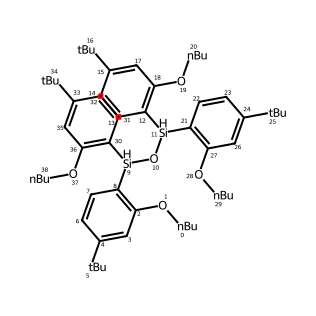 CCCCOc1cc(C(C)(C)C)ccc1[SiH](O[SiH](c1ccc(C(C)(C)C)cc1OCCCC)c1ccc(C(C)(C)C)cc1OCCCC)c1ccc(C(C)(C)C)cc1OCCCC